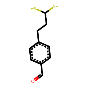 O=Cc1ccc(CCC(S)S)cc1